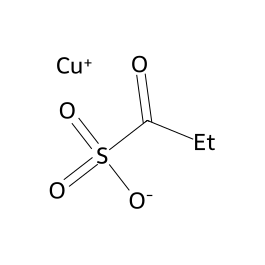 CCC(=O)S(=O)(=O)[O-].[Cu+]